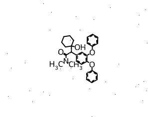 CN(C)C(=O)C(c1ccc(Oc2ccccc2)c(Oc2ccccc2)c1)C1(O)CCCCC1